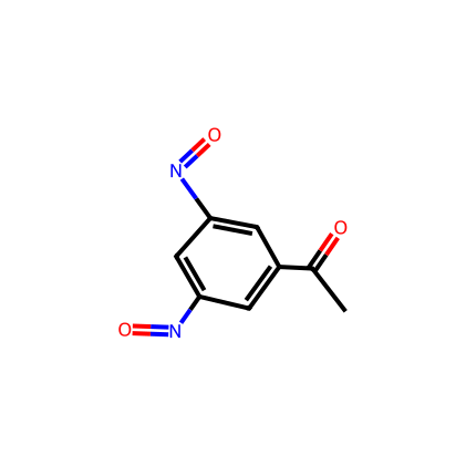 CC(=O)c1cc(N=O)cc(N=O)c1